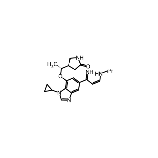 CC(C)N/C=C\C(=N)c1cc(O[C@H](C)[C@H]2CNC(=O)C2)c2c(c1)ncn2C1CC1